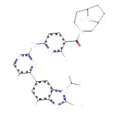 Cc1nc(Nc2ncc(F)c(-c3cc(F)c4nc(C)n(C(C)C)c4c3)n2)ccc1C(=O)N1CCC2CCC(C1)N2